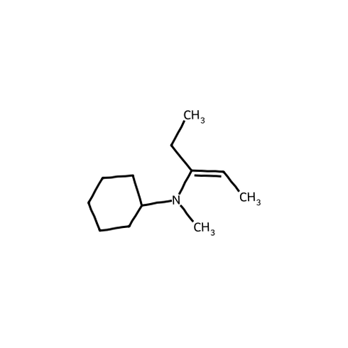 C/C=C(/CC)N(C)C1CCCCC1